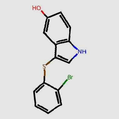 Oc1ccc2[nH]cc(Sc3ccccc3Br)c2c1